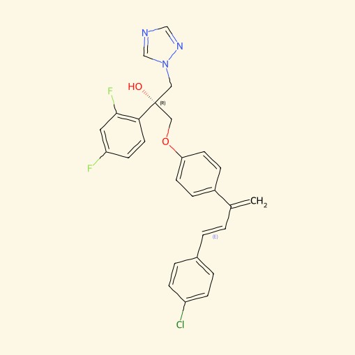 C=C(/C=C/c1ccc(Cl)cc1)c1ccc(OC[C@](O)(Cn2cncn2)c2ccc(F)cc2F)cc1